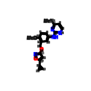 CNc1ccnc(Nc2ccc(OC)c(COc3cc(C4CC4)on3)c2)n1